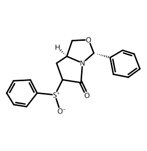 O=C1C([S+]([O-])c2ccccc2)C[C@H]2CO[C@H](c3ccccc3)N12